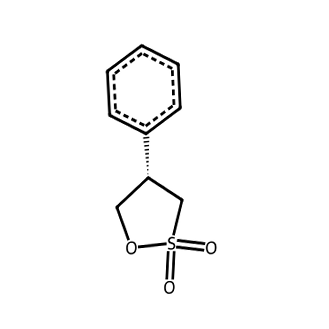 O=S1(=O)C[C@@H](c2ccccc2)CO1